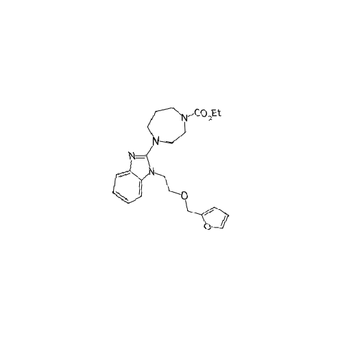 CCOC(=O)N1CCCN(c2nc3ccccc3n2CCOCc2ccco2)CC1